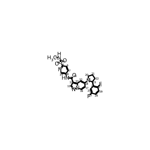 CNS(=O)(=O)c1ccc(NC(=O)c2cnn3ccc(N4CCCC4c4cc(F)ccc4F)cc23)cn1